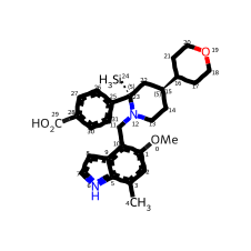 COc1cc(C)c2[nH]ccc2c1CN1CC[C@H](C2CCOCC2)C[C@]1([SiH3])c1ccc(C(=O)O)cc1